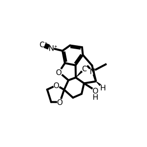 [C-]#[N+]c1ccc2c3c1OC1C4(CCC5(O)[C@@H](C2)N(C)CC[C@]315)OCCO4